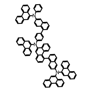 c1ccc(N(c2ccc3c(-c4ccc(N(c5cc6ccccc6c6ccccc56)c5cc6cccc(-c7cccc8cc(N(c9cc%10ccccc%10c%10ccccc9%10)c9cc%10ccccc%10c%10ccccc9%10)ccc78)c6c6ccccc56)cc4)cccc3c2)c2cc3ccccc3c3ccccc23)cc1